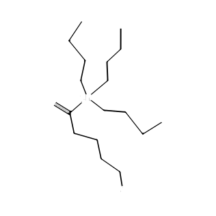 C=[C](CCCCCl)[Sn]([CH2]CCC)([CH2]CCC)[CH2]CCC